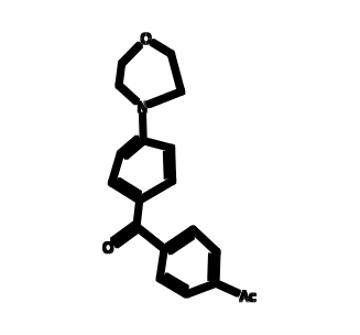 CC(=O)c1ccc(C(=O)c2ccc(N3CCOCC3)cc2)cc1